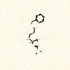 C[C@H](O[C@H](C)c1ccccc1)[C@H]1O[C@@H]2SC(N(C)C)=N[C@@H]2[C@@H](O)[C@@H]1O